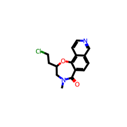 CN1CC(CCCl)Oc2c(ccc3cnccc23)C1=O